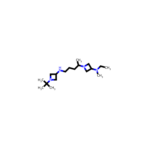 CCN(C)C1CN(C(C)CCCNC2CN(C(C)(C)C)C2)C1